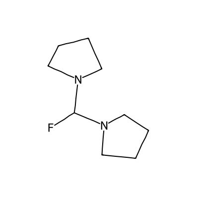 FC(N1CCCC1)N1CCCC1